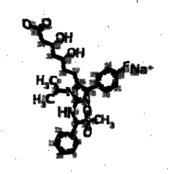 CC(C)n1c(NC(c2ccccc2)S(C)(=O)=O)nc(-c2ccc(F)cc2)c1CC[C@@H](O)C[C@@H](O)CC(=O)[O-].[Na+]